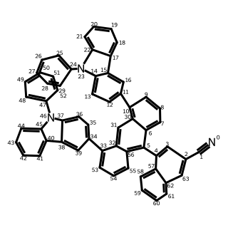 N#Cc1cc(-c2c3cccc(-c4ccc5c(c4)c4ccccc4n5-c4ccccc4)c3cc3c(-c4ccc5c(c4)c4ccccc4n5-c4ccccc4)cccc23)c2ccccc2c1